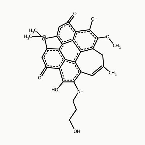 COc1c(O)c2c(=O)cc(OC)c3c4c(OC)cc(=O)c5c(O)c(NCCCO)c6c(c(c1CC(C)=C6)c23)c54